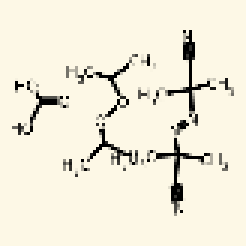 CC(C)(C#N)N=NC(C)(C)C#N.CC(C)OOC(C)C.O=C(O)O